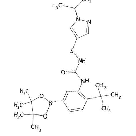 CC(C)n1cc(SNC(=O)Nc2cc(B3OC(C)(C)C(C)(C)O3)ccc2C(C)(C)C)cn1